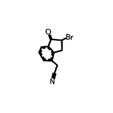 N#CCc1cccc2c1CC(Br)C2=O